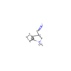 Cn1cc(C#N)c2c1CCC2